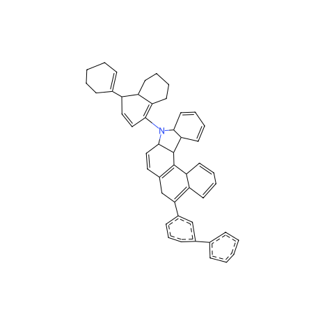 C1=CC2=C(c3cccc(-c4ccccc4)c3)CC3=C(C2C=C1)C1C2C=CC=CC2N(C2=C4CCCCC4C(C4=CCCCC4)C=C2)C1C=C3